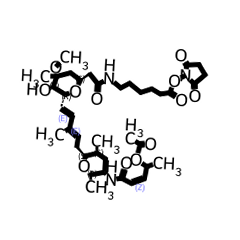 COC1(C)C[C@@H](CC(=O)NCCCCCC(=O)ON2C(=O)CCC2=O)O[C@H](/C=C/C(C)=C/C[C@@H]2O[C@H](C)C(NC(=O)/C=C\C(C)OC(C)=O)C[C@@H]2C)[C@H]1O